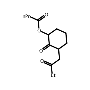 CCCC(=O)OC1CCCC(CC(=O)CC)C1=O